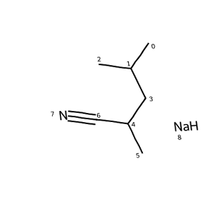 CC(C)CC(C)C#N.[NaH]